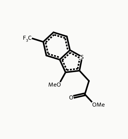 COC(=O)Cc1sc2ccc(C(F)(F)F)cc2c1OC